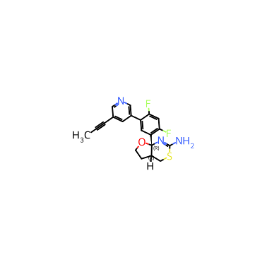 CC#Cc1cncc(-c2cc([C@@]34N=C(N)SC[C@@H]3CCO4)c(F)cc2F)c1